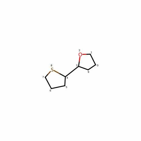 C1COC(C2CCCS2)C1